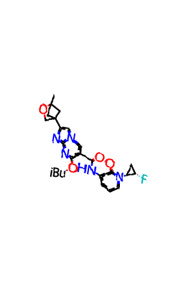 CC[C@@H](C)Oc1nc2nc(C34COC(C)(C3)C4)cn2cc1C(=O)Nc1cccn([C@@H]2C[C@@H]2F)c1=O